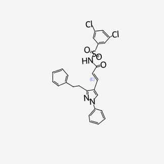 O=C(/C=C/c1cn(-c2ccccc2)nc1CCc1ccccc1)NS(=O)(=O)c1cc(Cl)cc(Cl)c1